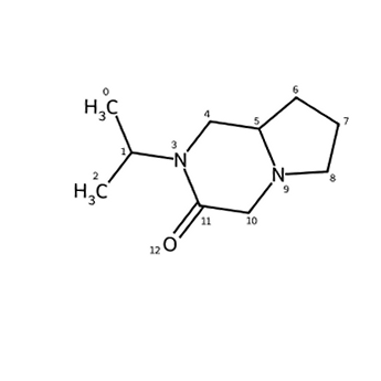 CC(C)N1CC2CCCN2CC1=O